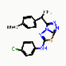 COc1ccc(C(C)c2nnc3sc(Nc4ccc(Cl)cc4)nn23)cc1